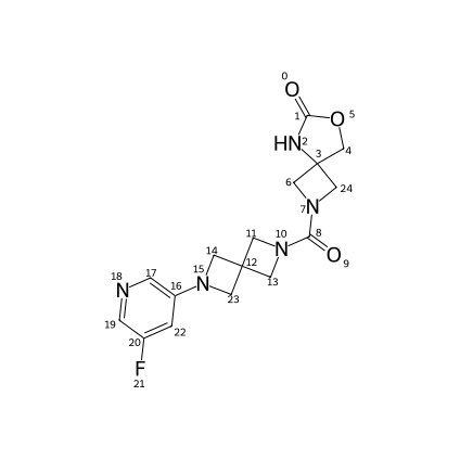 O=C1NC2(CO1)CN(C(=O)N1CC3(C1)CN(c1cncc(F)c1)C3)C2